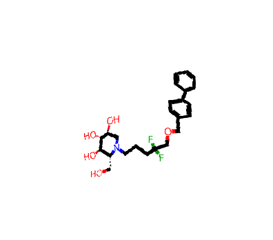 OC[C@@H]1[C@@H](O)[C@H](O)[C@@H](O)CN1CCCC(F)(F)COCc1ccc(-c2ccccc2)cc1